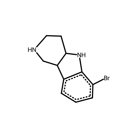 Brc1cccc2c1NC1CCNCC21